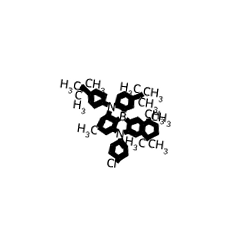 Cc1cc2c3c(c1)N(c1ccc(Cl)cc1)c1cc4c(cc1B3c1cc(C(C)(C)C)ccc1N2c1ccc(C(C)(C)C)cc1)C(C)(C)CCC4(C)C